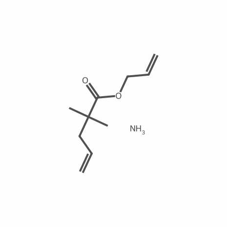 C=CCOC(=O)C(C)(C)CC=C.N